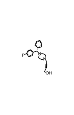 OCC#CCN1CCN([C@@H](c2ccccc2)c2ccc(F)cc2)CC1